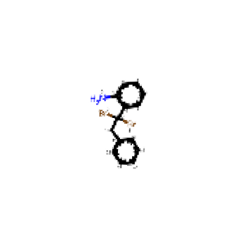 Nc1ccccc1C(Br)(Br)Cc1ccccc1